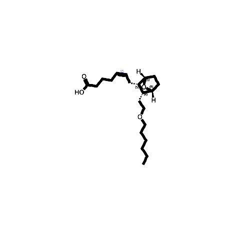 CCCCCCOCC[C@@H]1[C@H](C/C=C\CCCC(=O)O)[C@@H]2CC[C@H]1O2